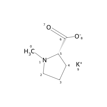 CN1CCC[C@H]1C(=O)[O-].[K+]